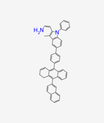 Cc1c(/C=C\N)n(-c2ccccc2)c2ccc(-c3ccc(-c4c5c(c(-c6ccc7ccccc7c6)c6ccccc46)CCC=C5)cc3)cc12